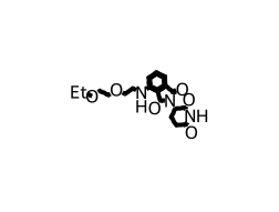 CCOCCOCCNc1cccc2c1C(=O)N(C1CCC(=O)NC1=O)C2=O